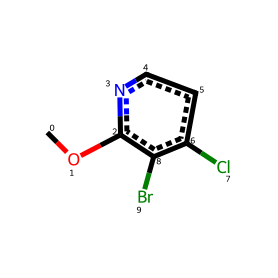 COc1nccc(Cl)c1Br